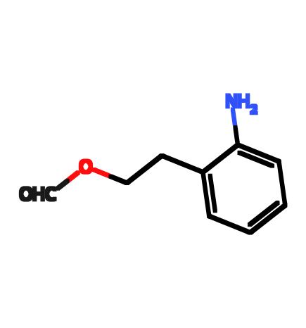 Nc1ccccc1CCOC=O